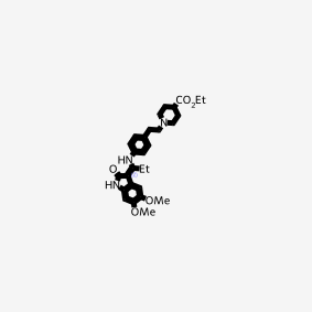 CCOC(=O)C1CCN(CCc2ccc(N/C(CC)=C3\C(=O)Nc4cc(OC)c(OC)cc43)cc2)CC1